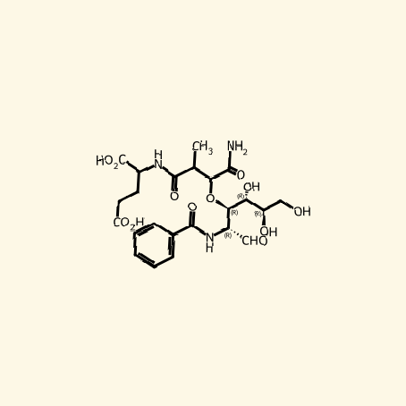 CC(C(=O)NC(CCC(=O)O)C(=O)O)C(O[C@@H]([C@H](O)[C@H](O)CO)[C@H](C=O)NC(=O)c1ccccc1)C(N)=O